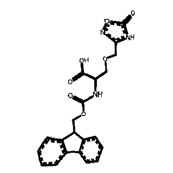 O=C(NC(COCc1noc(=O)[nH]1)C(=O)O)OCC1c2ccccc2-c2ccccc21